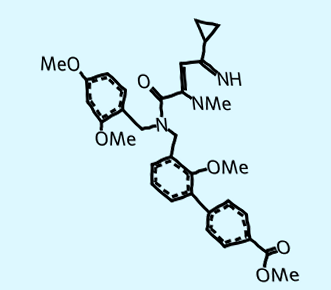 CN/C(=C\C(=N)C1CC1)C(=O)N(Cc1ccc(OC)cc1OC)Cc1cccc(-c2ccc(C(=O)OC)cc2)c1OC